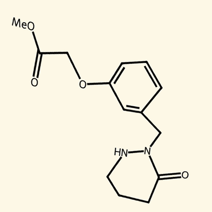 COC(=O)COc1cccc(CN2NCCCC2=O)c1